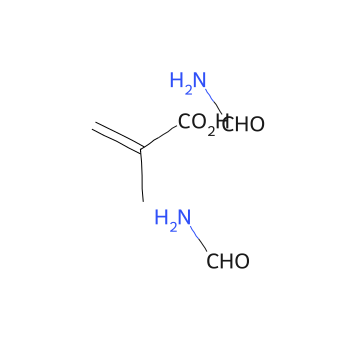 C=C(C)C(=O)O.NC=O.NC=O